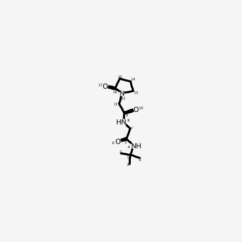 CC(C)(C)NC(=O)CNC(=O)CN1CCCC1=O